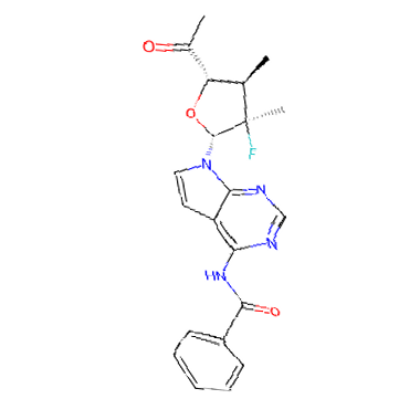 CC(=O)[C@H]1O[C@@H](n2ccc3c(NC(=O)c4ccccc4)ncnc32)[C@](C)(F)[C@@H]1C